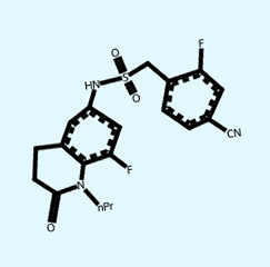 CCCN1C(=O)CCc2cc(NS(=O)(=O)Cc3ccc(C#N)cc3F)cc(F)c21